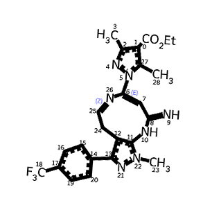 CCOC(=O)c1c(C)nn(C2=C/C(=N)Nc3c(c(-c4ccc(C(F)(F)F)cc4)nn3C)C/C=N\2)c1C